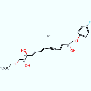 O=C([O-])COC[C@@H](O)[C@@H](O)C=CC=CC#CC=C[C@@H](O)COc1ccc(F)cc1.[K+]